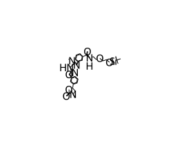 CN1CC(c2ccc3nc(Nc4nc5cc(C(=O)NCCOCCO[Si](C)(C)C(C)(C)C)ccc5n4C)oc3c2)OC1=O